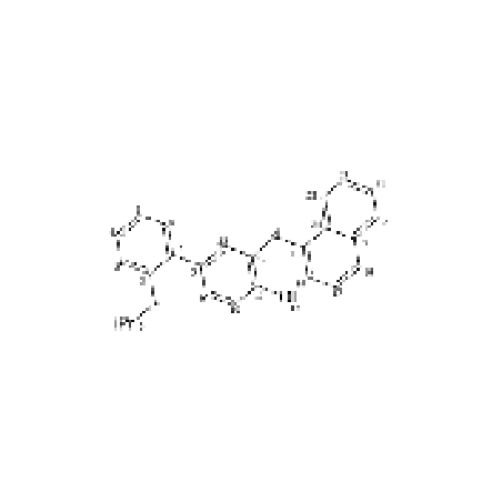 CC(C)Cc1ccccc1-c1ccc(O)c(Cc2cccc3ccccc23)c1